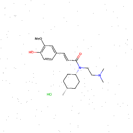 COc1cc(C=CC(=O)N(CCN(C)C)[C@H]2CC[C@@H](C)CC2)ccc1O.Cl